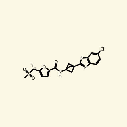 C[C@H](c1ccc(C(=O)NC23CC(c4nc5ccc(Cl)cc5s4)(C2)C3)o1)S(C)(=O)=O